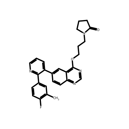 Cc1cc(-c2ncccc2-c2ccc3ncnc(OCCCN4CCCC4=O)c3c2)ccc1F